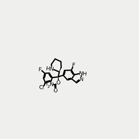 NC(=O)O[C@](c1cc(F)cc(Cl)c1)(c1cc(F)c2[nH]ncc2c1)[C@@H]1CCCCN1